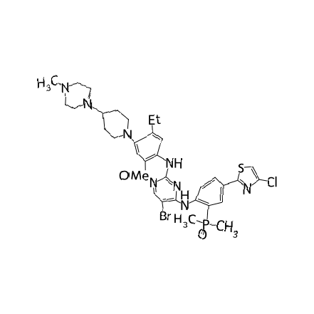 CCc1cc(Nc2ncc(Br)c(Nc3ccc(-c4nc(Cl)cs4)cc3P(C)(C)=O)n2)c(OC)cc1N1CCC(N2CCN(C)CC2)CC1